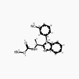 C[C@H](NC(=O)OC(C)(C)C)c1nc2ccccc2n1-c1cccc(C#N)c1